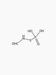 O=CNSP(=O)(O)O